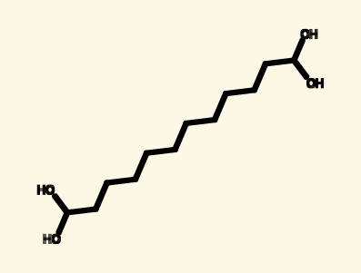 OC(O)CCCCCCCCCCC(O)O